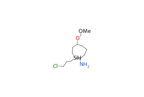 COCOC1CCCC(N)[SiH](CCCCl)CC1